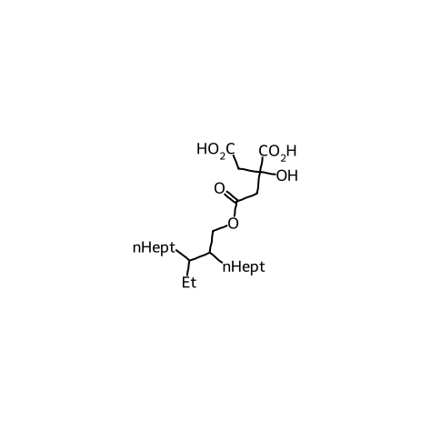 CCCCCCCC(CC)C(CCCCCCC)COC(=O)CC(O)(CC(=O)O)C(=O)O